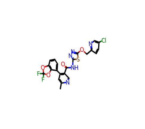 Cc1cc(-c2cccc3c2OC(F)(F)O3)c(C(=O)Nc2nnc(OCc3ccc(Cl)cn3)s2)cn1